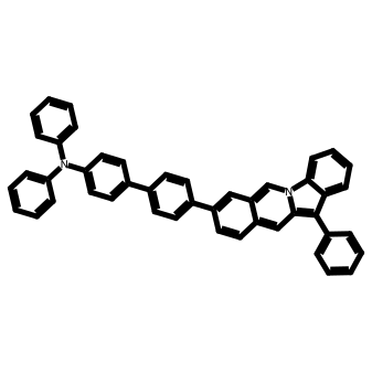 c1ccc(-c2c3ccccc3n3cc4cc(-c5ccc(-c6ccc(N(c7ccccc7)c7ccccc7)cc6)cc5)ccc4cc23)cc1